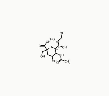 CC(=O)NC1C(O)CC(CO)(C(=O)O)O[C@H]1[C@H](O)[C@H](O)CO